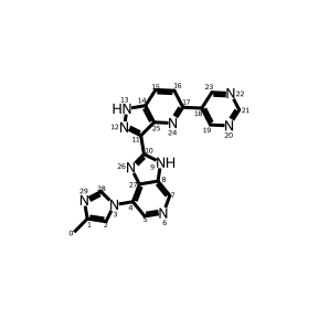 Cc1cn(-c2cncc3[nH]c(-c4n[nH]c5ccc(-c6cncnc6)nc45)nc23)cn1